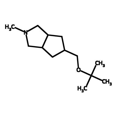 CN1CC2CC(COC(C)(C)C)CC2C1